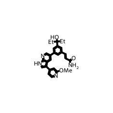 CCC(O)(CC)c1cc(C=CC(N)=O)cc(-c2cnc3[nH]cc(-c4ccnc(OC)c4)c3c2)c1